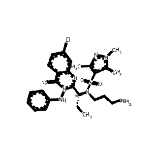 CC[C@H](c1nc2cc(Cl)ccc2c(=O)n1Nc1ccccc1)N(CCCN)S(=O)(=O)c1c(C)nn(C)c1C